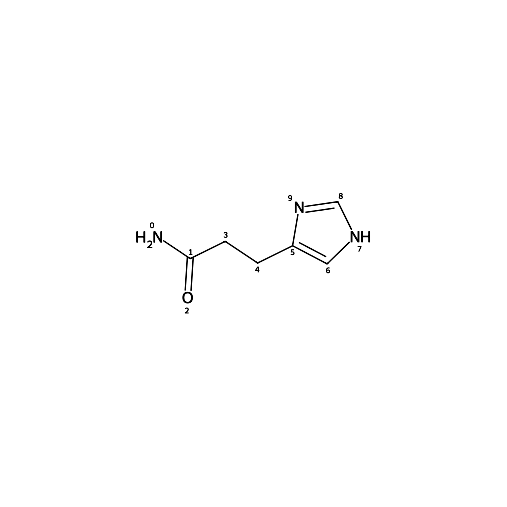 NC(=O)CCc1c[nH]cn1